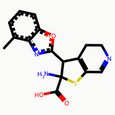 Cc1cccc2oc(C3C4=C(C=NCC4)SC3(N)C(=O)O)nc12